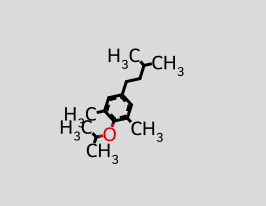 Cc1cc(CCC(C)C)cc(C)c1OC(C)C